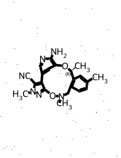 Cc1ccc2c(c1)[C@@H](C)Oc1cc(cnc1N)-c1c(nn(C)c1C#N)ON(C)C2